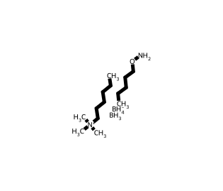 B.CCCCCC[N+](C)(C)C.CCCCCON.[BH4-]